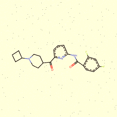 O=C(Nc1cccc(C(=O)C2CCN(C3CCC3)CC2)n1)c1ccc(F)cc1F